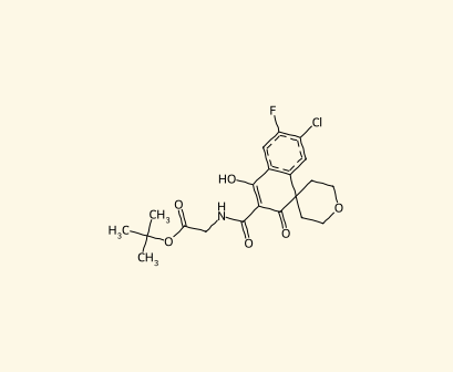 CC(C)(C)OC(=O)CNC(=O)C1=C(O)c2cc(F)c(Cl)cc2C2(CCOCC2)C1=O